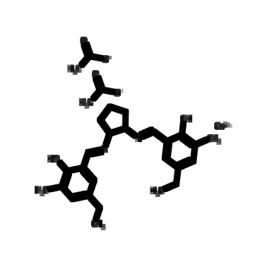 CC(=O)[O-].CC(=O)[O-].CCc1cc(C)c(O)c(C=NC2CCCC2N=Cc2cc(CC)cc(C)c2O)c1.[Co+2]